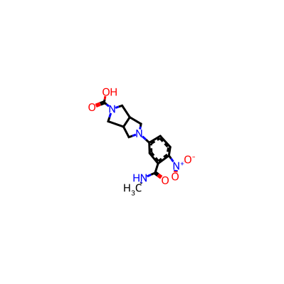 CNC(=O)c1cc(N2CC3CN(C(=O)O)CC3C2)ccc1[N+](=O)[O-]